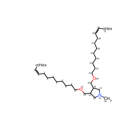 CCCCCC/C=C\CCCCCCCCOCC1CN(C)CC1COCCCCCCCC/C=C\CCCCCC